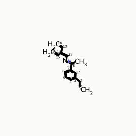 C=CCc1cccc(/C(C)=N/C=C(C=C)C=C)c1